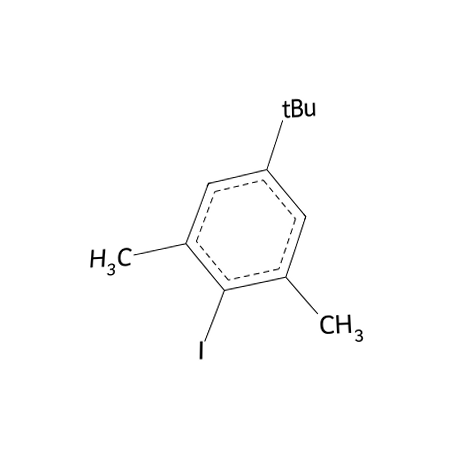 Cc1cc(C(C)(C)C)cc(C)c1I